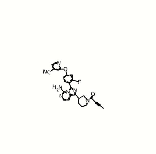 CC#CC(=O)N1CCCC(c2nc(-c3ccc(Oc4cc(C#N)ccn4)cc3F)n3c(N)nccc23)C1